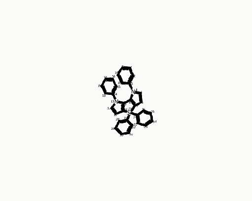 c1ccc(-n2ccc3c2-c2c(ccn2-c2ccccc2)[Si]3(c2ccccc2)c2ccccc2)cc1